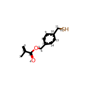 C=C(C)C(=O)OCc1ccc(CS)cc1